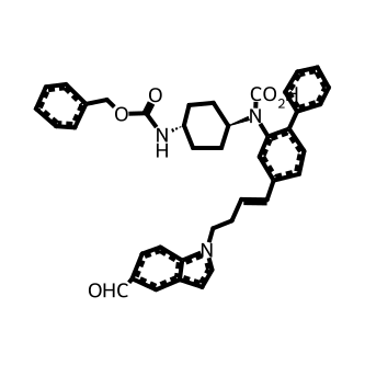 O=Cc1ccc2c(ccn2CCC=Cc2ccc(-c3ccccc3)c(N(C(=O)O)[C@H]3CC[C@H](NC(=O)OCc4ccccc4)CC3)c2)c1